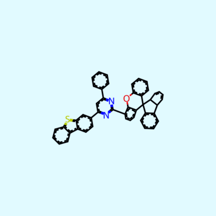 C1=CC2c3ccccc3C3(c4ccccc4Oc4c(-c5nc(-c6ccccc6)cc(-c6ccc7c(c6)sc6ccccc67)n5)cccc43)C2C=C1